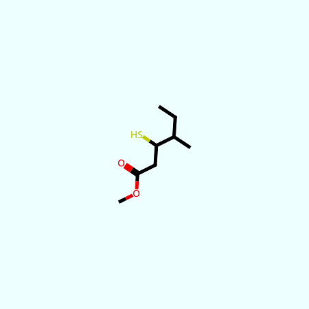 CCC(C)C(S)CC(=O)OC